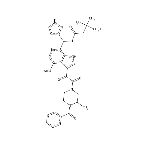 COc1cnc(C(OC(=O)CC(C)(C)C(=O)O)c2cc[nH]n2)c2[nH]cc(C(=O)C(=O)N3CCN(C(=O)c4ccccc4)C(C)C3)c12